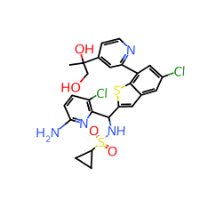 CC(O)(CO)c1ccnc(-c2cc(Cl)cc3cc(C(NS(=O)(=O)C4CC4)c4nc(N)ccc4Cl)sc23)c1